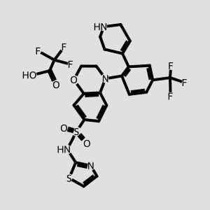 O=C(O)C(F)(F)F.O=S(=O)(Nc1nccs1)c1ccc2c(c1)OCCN2c1ccc(C(F)(F)F)cc1C1=CCNCC1